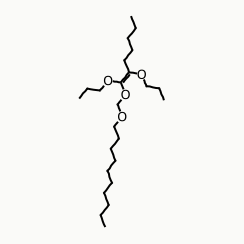 CCCCCCCCCCOCO/C(OCCC)=C(/CCCCC)OCCC